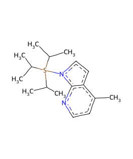 Cc1ccnc2c1ccn2S(C(C)C)(C(C)C)C(C)C